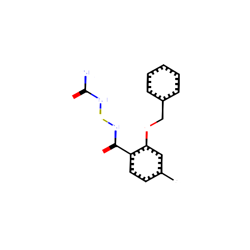 CC(=O)c1ccc(C(=O)NSNC(N)=O)c(OCc2ccccc2)c1